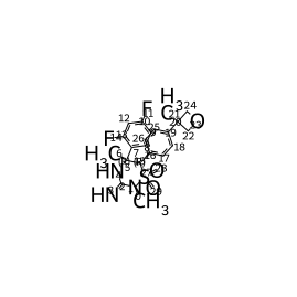 CN1C(=N)N[C@](C)(c2ccc(F)cc2F)[C@@H](c2ccc(C3(C)COC3)cc2)S1(=O)=O